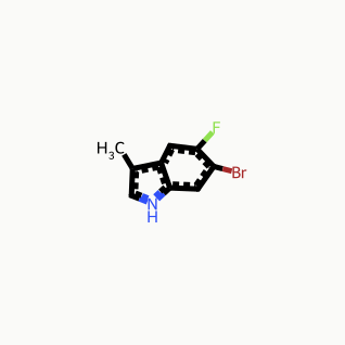 Cc1c[nH]c2cc(Br)c(F)cc12